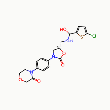 O=C1COCCN1c1ccc(N2C[C@H](CNC(O)c3ccc(Cl)s3)OC2=O)cc1